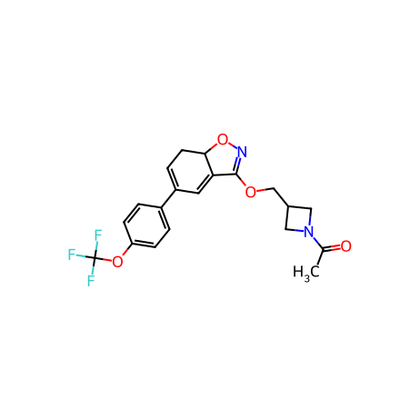 CC(=O)N1CC(COC2=NOC3CC=C(c4ccc(OC(F)(F)F)cc4)C=C23)C1